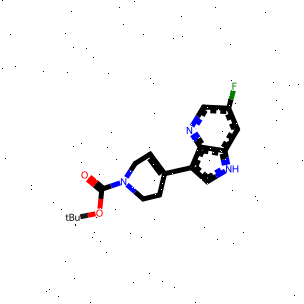 CC(C)(C)OC(=O)N1CC=C(c2c[nH]c3cc(F)cnc23)CC1